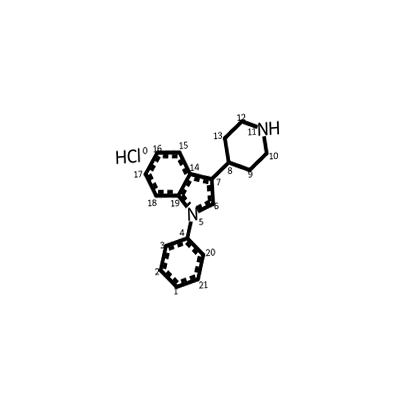 Cl.c1ccc(-n2cc(C3CCNCC3)c3ccccc32)cc1